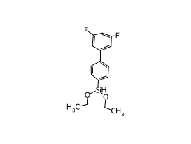 CCO[SiH](OCC)c1ccc(-c2cc(F)cc(F)c2)cc1